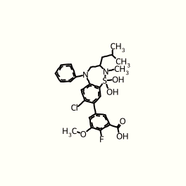 COc1cc(-c2cc3c(cc2Cl)N(c2ccccc2)CC(CC(C)C)N(C)S3(O)O)cc(C(=O)O)c1F